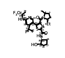 CCC1CCC(C)N1C(=O)c1nc(C(=O)N[C@@H]2CCC[C@H]2O)sc1-c1cnc(N[C@@H](C)C(F)(F)F)cc1C(F)F